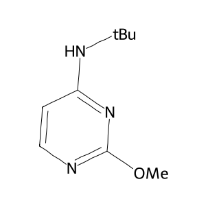 COc1nccc(NC(C)(C)C)n1